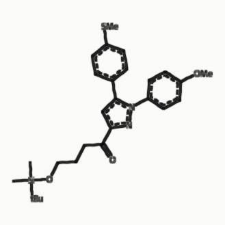 COc1ccc(-n2nc(C(=O)CCCO[Si](C)(C)C(C)(C)C)cc2-c2ccc(SC)cc2)cc1